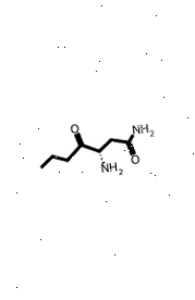 CCCC(=O)[C@@H](N)CC(N)=O